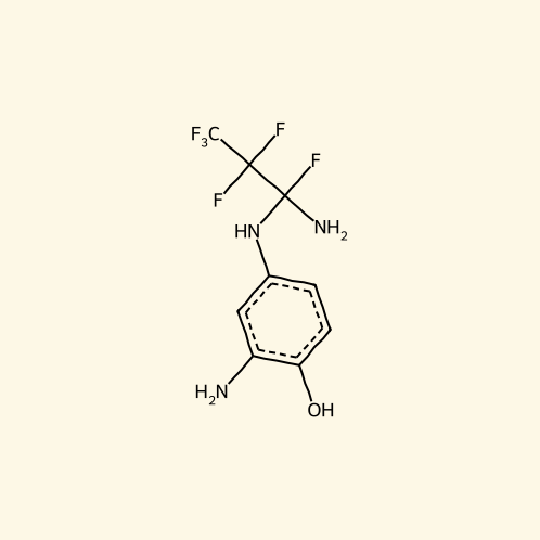 Nc1cc(NC(N)(F)C(F)(F)C(F)(F)F)ccc1O